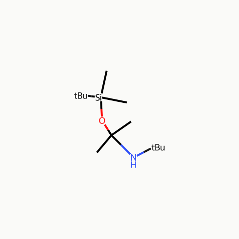 CC(C)(C)NC(C)(C)O[Si](C)(C)C(C)(C)C